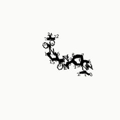 CC(C)n1ncc2ccc(-c3noc(C4CCN(C(=O)OC(C)(C)C)C4)n3)cc21